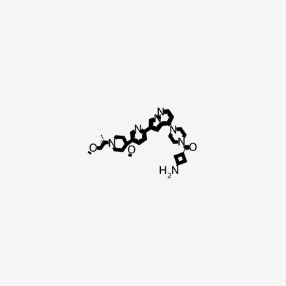 COC[C@H](C)N1CCC(OC)(c2ccc(-c3cc4c(N5CCN(C(=O)[C@H]6C[C@H](N)C6)CC5)ccnn4c3)nc2)CC1